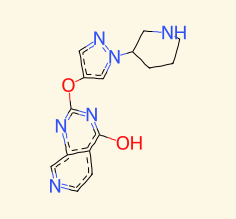 Oc1nc(Oc2cnn(C3CCCNC3)c2)nc2cnccc12